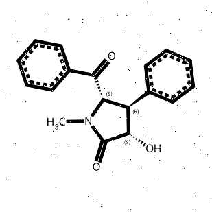 CN1C(=O)[C@@H](O)[C@H](c2ccccc2)[C@H]1C(=O)c1ccccc1